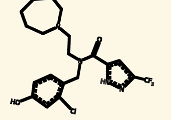 O=C(c1cc(C(F)(F)F)n[nH]1)N(CCN1CCCCCC1)Cc1ccc(O)cc1Cl